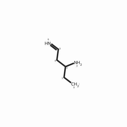 [CH2]CC(N)CC=N